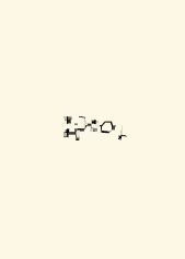 CC(=O)Nc1ccc(S(=O)(=O)N2CCN(C(=O)O)C(C(C(F)(F)F)C(F)(F)F)C2)cc1